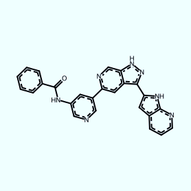 O=C(Nc1cncc(-c2cc3c(-c4cc5cccnc5[nH]4)n[nH]c3cn2)c1)c1ccccc1